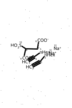 C#CCCCCCC.C#CCCCCCC.O=C([O-])CC(C(=O)[O-])S(=O)(=O)O.[Na+].[Na+]